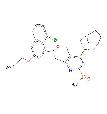 COCOc1cc(C2Cc3nc([S+](C)[O-])nc(C4CC5CCC(C5)C4)c3CO2)c2c(Br)cccc2c1